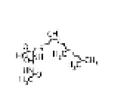 CC(=O)NCC(=O)N/C(=C\SC/C=C(\C)CC/C=C(\C)CCC=C(C)C)C(=O)O